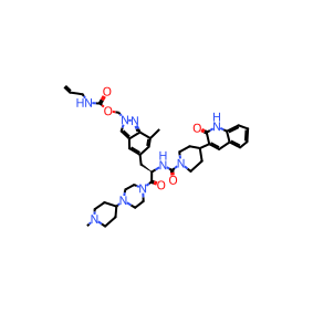 C=CCNC(=O)OCn1cc2cc(C[C@@H](NC(=O)N3CCC(c4cc5ccccc5[nH]c4=O)CC3)C(=O)N3CCN(C4CCN(C)CC4)CC3)cc(C)c2n1